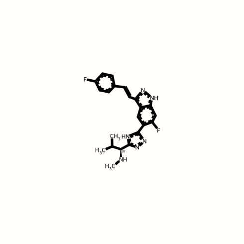 CN[C@H](c1nnc(-c2cc3c(C=Cc4ccc(F)cc4)n[nH]c3cc2F)[nH]1)C(C)C